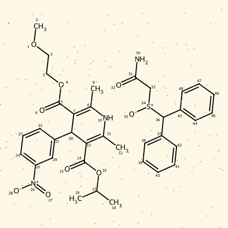 COCCOC(=O)C1=C(C)NC(C)=C(C(=O)OC(C)C)C1c1cccc([N+](=O)[O-])c1.NC(=O)C[S+]([O-])C(c1ccccc1)c1ccccc1